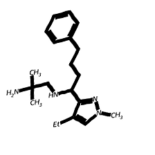 [CH2]Cc1cn(C)nc1C(CCCc1ccccc1)NCC(C)(C)N